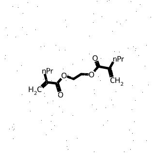 C=C(CCC)C(=O)OCCOC(=O)C(=C)CCC